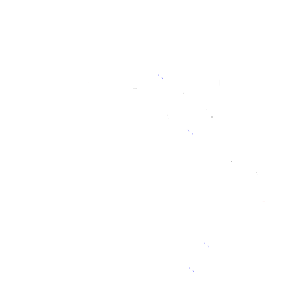 COC1(NC(=O)COc2ccccc2)C(=O)N2CC(CSc3nncs3)(C(=O)O)CS[C@@H]21